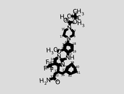 COc1cc(N2CCN(C(=O)OC(C)(C)C)CC2)ccc1Nc1ncc(C(F)(F)F)c(C(CC(N)=O)Cc2ccccc2)n1